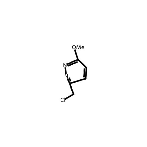 COc1ccc(CCl)nn1